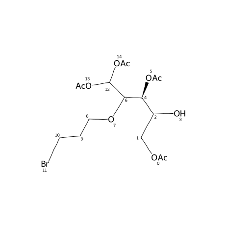 CC(=O)OCC(O)[C@H](OC(C)=O)C(OCCCBr)C(OC(C)=O)OC(C)=O